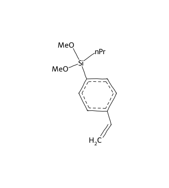 C=Cc1ccc([Si](CCC)(OC)OC)cc1